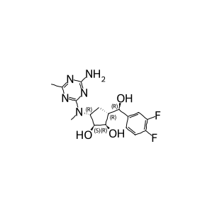 Cc1nc(N)nc(N(C)[C@@H]2C[C@H]([C@@H](O)c3ccc(F)c(F)c3)[C@@H](O)[C@H]2O)n1